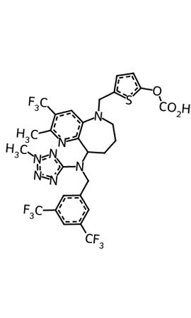 Cc1nc2c(cc1C(F)(F)F)N(Cc1ccc(OC(=O)O)s1)CCCC2N(Cc1cc(C(F)(F)F)cc(C(F)(F)F)c1)c1nnn(C)n1